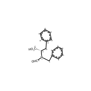 O=CN(Cc1ccccc1)[C@@H](Cc1ccccc1)C(=O)O